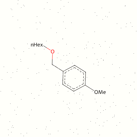 CCCCCCOCc1ccc(OC)cc1